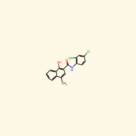 Cc1cc(C(=O)Nc2ccc(Cl)cc2Cl)c(O)c2ccccc12